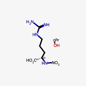 CCCO.N=C(N)NCCC[C@H](N[N+](=O)[O-])C(=O)O